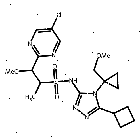 COCC1(n2c(NS(=O)(=O)C(C)C(OC)c3ncc(Cl)cn3)nnc2C2CCC2)CC1